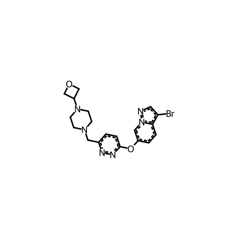 Brc1cnn2cc(Oc3ccc(CN4CCN(C5COC5)CC4)nn3)ccc12